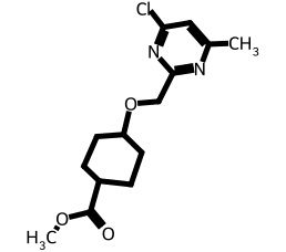 COC(=O)C1CCC(OCc2nc(C)cc(Cl)n2)CC1